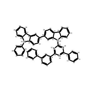 c1ccc(-c2cccc(-c3nc(-c4ccccc4)nc(-n4c5ccccc5c5ccc(-c6ccc7c(c6)c6ccccc6n7-c6ccccc6)cc54)n3)c2)cc1